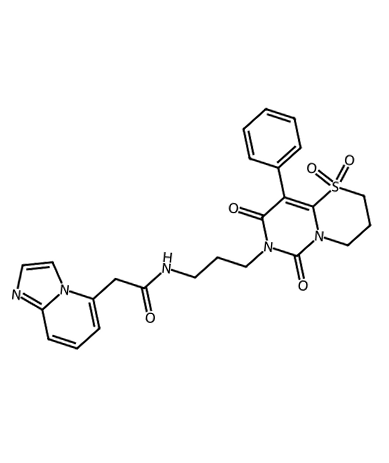 O=C(Cc1cccc2nccn12)NCCCn1c(=O)c(-c2ccccc2)c2n(c1=O)CCCS2(=O)=O